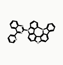 c1ccc(-c2nc(-n3c4ccc5oc6ccc7c8ccccc8n8c9cccc3c9c4c5c6c78)nc3ccccc23)nc1